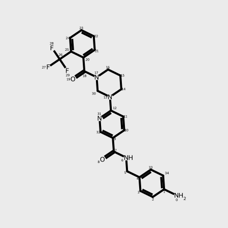 Nc1ccc(CNC(=O)c2ccc(N3CCCN(C(=O)c4ccccc4C(F)(F)F)C3)nc2)cc1